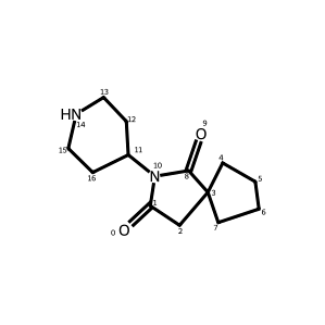 O=C1CC2(CCCC2)C(=O)N1C1CCNCC1